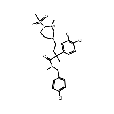 C[C@H]1CN(CCC(C)(C(=O)N(C)Cc2ccc(Cl)cc2)c2ccc(Cl)c(Cl)c2)CCN1S(C)(=O)=O